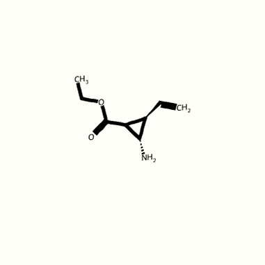 C=C[C@@H]1C(C(=O)OCC)[C@H]1N